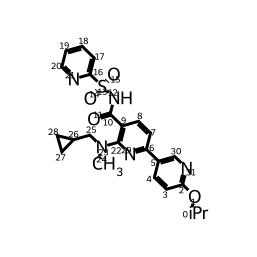 CC(C)Oc1ccc(-c2ccc(C(=O)NS(=O)(=O)c3ccccn3)c(N(C)CC3CC3)n2)cn1